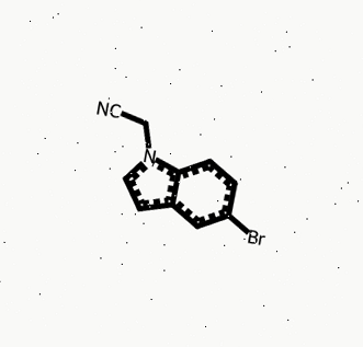 N#CCn1ccc2cc(Br)ccc21